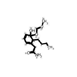 CCCCC1C(CC(N)=O)=CC=CC1(O)OCOC